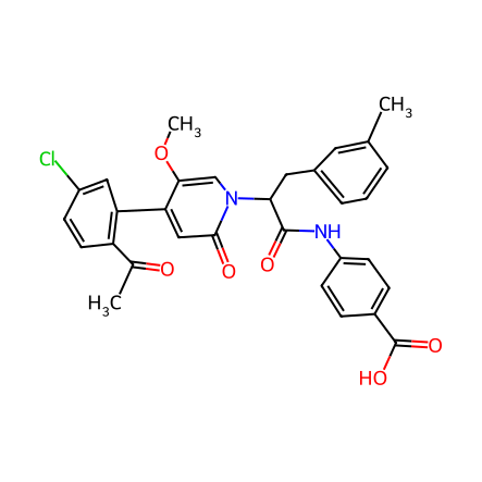 COc1cn(C(Cc2cccc(C)c2)C(=O)Nc2ccc(C(=O)O)cc2)c(=O)cc1-c1cc(Cl)ccc1C(C)=O